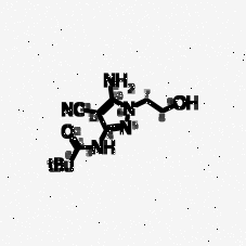 CC(C)(C)C(=O)Nc1nn(CCO)c(N)c1C#N